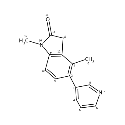 Cc1c(-c2cccnc2)ccc2c1CC(=O)N2C